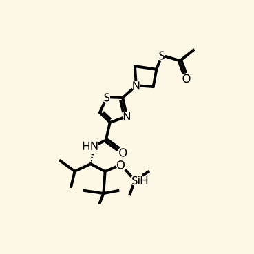 CC(=O)SC1CN(c2nc(C(=O)N[C@@H](C(C)C)C(O[SiH](C)C)C(C)(C)C)cs2)C1